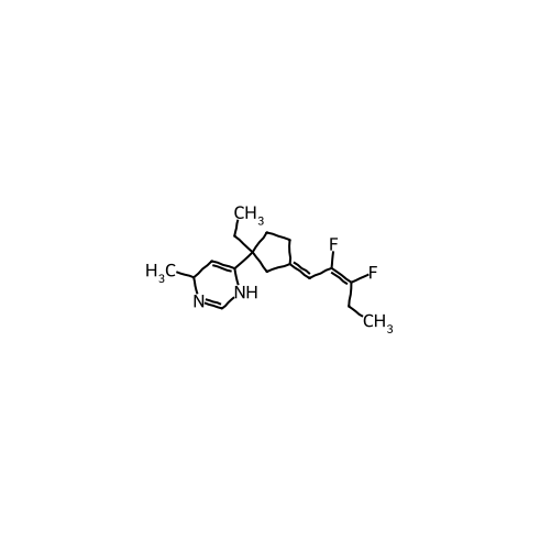 CC/C(F)=C(F)\C=C1/CCC(CC)(C2=CC(C)N=CN2)C1